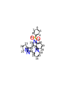 O=S(=O)(c1ccccc1)n1cc(-c2c(-c3ccccn3)nn3c2CCC3)c2ccccc21